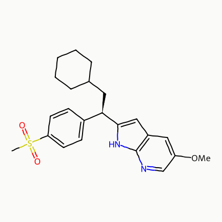 COc1cnc2[nH]c([C@H](CC3CCCCC3)c3ccc(S(C)(=O)=O)cc3)cc2c1